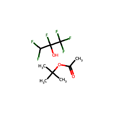 CC(=O)OC(C)(C)C.OC(F)(C(F)F)C(F)(F)F